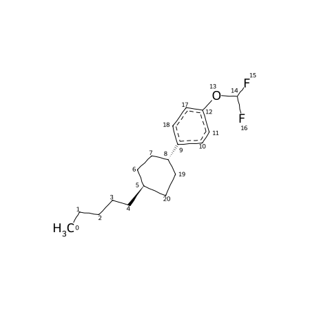 CCCCC[C@H]1CC[C@H](c2ccc(OC(F)F)cc2)CC1